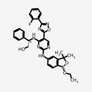 CCOB1OC(C)(C)c2cc(Nc3ncc(-c4nc(-c5ccccc5F)no4)c(N[C@H](CO)c4ccccc4)n3)ccc21